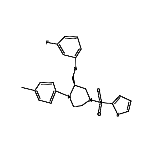 Cc1ccc(N2CCN(S(=O)(=O)c3cccs3)C[C@@H]2CSc2cccc(F)c2)cc1